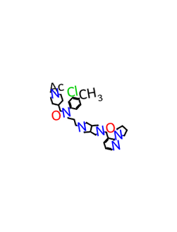 CC(=O)N1CCC(C(=O)N(CCCN2CC3CN(C(=O)c4cccnc4N4CCCC4)CC3C2)c2ccc(C)c(Cl)c2)CC1